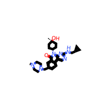 CN1CCN(Cc2ccc3c(c2)c(=O)n([C@H]2CC[C@](C)(O)CC2)c2nc(NCC4CC4)ncc32)CC1